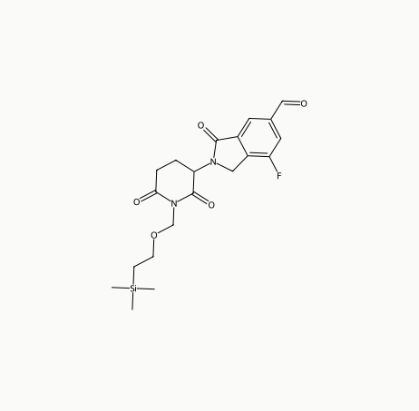 C[Si](C)(C)CCOCN1C(=O)CCC(N2Cc3c(F)cc(C=O)cc3C2=O)C1=O